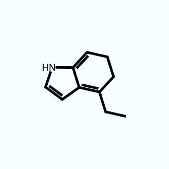 CCC1=c2cc[nH]c2=CCC1